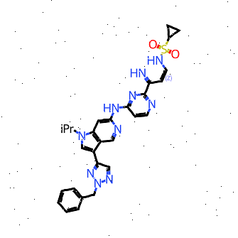 CC(C)n1cc(-c2cnn(Cc3ccccc3)n2)c2cnc(Nc3ccnc(C(=N)/C=C\NS(=O)(=O)C4CC4)n3)cc21